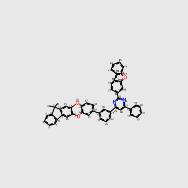 CC1(C)c2ccccc2-c2cc3c(cc21)Oc1ccc(-c2cccc(-c4cc(-c5ccccc5)nc(-c5ccc6c(c5)oc5ccccc56)n4)c2)cc1O3